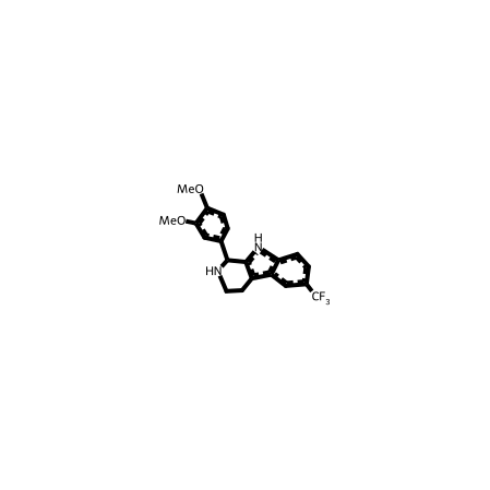 COc1ccc(C2NCCc3c2[nH]c2ccc(C(F)(F)F)cc32)cc1OC